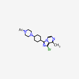 CC(=O)N1CCN(C2CCC(c3nc(Br)c4c(C)nccn34)CC2)CC1